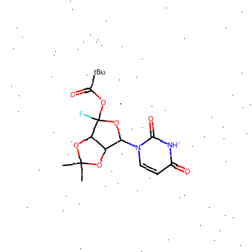 CC1(C)OC2C(n3ccc(=O)[nH]c3=O)OC(F)(OC(=O)C(C)(C)C)C2O1